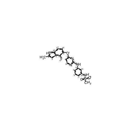 Cc1cc2c(F)c(Oc3ccnc(Nc4cccc(NS(C)(=O)=O)c4)n3)ccc2[nH]1